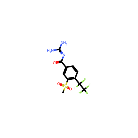 CS(=O)(=O)c1cc(C(=O)N=C(N)N)ccc1C(F)(F)C(F)(F)F